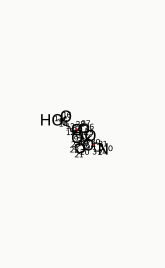 CN1CCC(OC(=O)C(OC(=O)CCCC(=O)O)(c2ccccc2)c2ccccc2)CC1